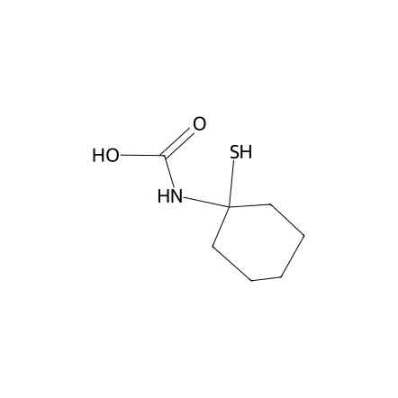 O=C(O)NC1(S)CCCCC1